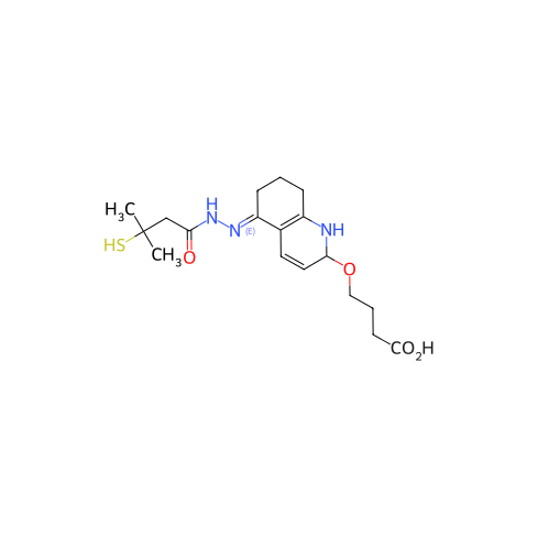 CC(C)(S)CC(=O)N/N=C1\CCCC2=C1C=CC(OCCCC(=O)O)N2